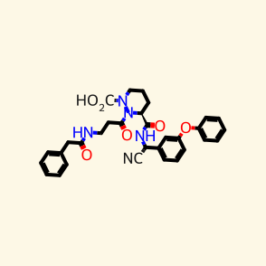 N#CC(NC(=O)[C@@H]1CCCN(C(=O)O)N1C(=O)CCNC(=O)Cc1ccccc1)c1cccc(Oc2ccccc2)c1